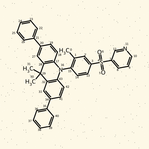 Cc1cc(S(=O)(=O)c2cccnc2)ccc1N1c2ccc(-c3ccccc3)cc2C(C)(C)c2cc(-c3ccccc3)ccc21